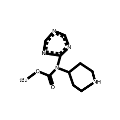 CC(C)(C)OC(=O)N(c1ncncn1)C1CCNCC1